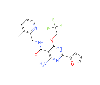 Cc1cccnc1CNC(=O)c1c(N)nc(-c2ccco2)nc1OCC(F)(F)F